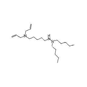 C=CCN(CC=C)CCCCCN[N+](CCCCC)CCCCC